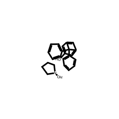 ON1CCCC1.Oc1cc2cc(c1)C2(c1ccccc1)c1ccccc1